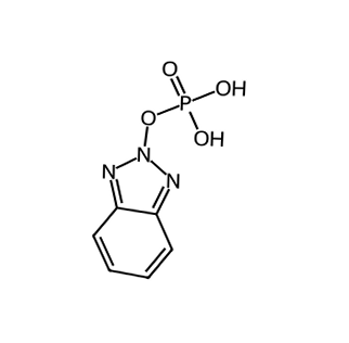 O=P(O)(O)On1nc2ccccc2n1